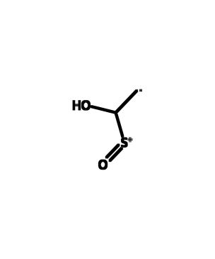 [CH2]C(O)[S+]=O